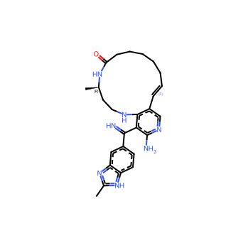 Cc1nc2cc(C(=N)c3c(N)ncc4c3NCC[C@@H](C)NC(=O)CCCCC/C=C/4)ccc2[nH]1